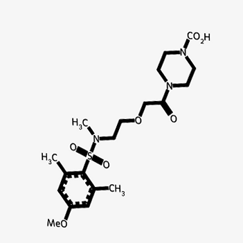 COc1cc(C)c(S(=O)(=O)N(C)CCOCC(=O)N2CCN(C(=O)O)CC2)c(C)c1